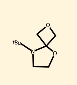 CC(C)(C)N1CCOC12COC2